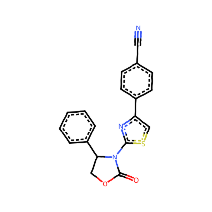 N#Cc1ccc(-c2csc(N3C(=O)OCC3c3ccccc3)n2)cc1